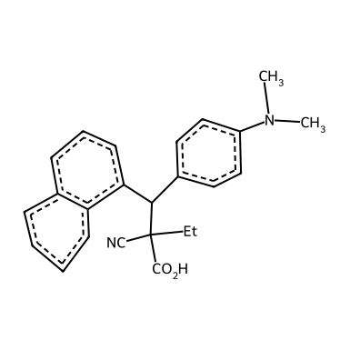 CCC(C#N)(C(=O)O)C(c1ccc(N(C)C)cc1)c1cccc2ccccc12